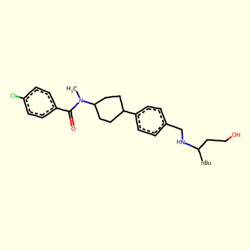 CCCCC(CCO)NCc1ccc(C2CCC(N(C)C(=O)c3ccc(Cl)cc3)CC2)cc1